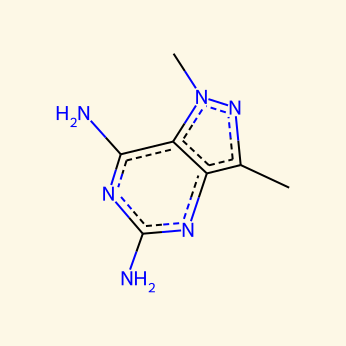 Cc1nn(C)c2c(N)nc(N)nc12